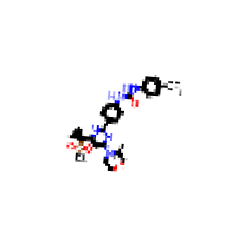 CCS(=O)(=O)C1(c2cc(N3CCOC[C@@H]3C)nc(-c3ccc(NC(=O)Nc4ccc(C(F)(F)F)cc4)cc3)n2)CC1